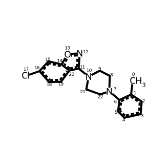 Cc1ccccc1N1CCN(c2noc3cc(Cl)ccc23)CC1